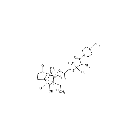 C=C[C@]1(C)C[C@@H](OC(=O)CSC(C)(C)C(N)C(=O)N2CCN(C)CC2)[C@]2(C)C(C)CCC3(CCC(=O)C32)[C@@H](C)C1O